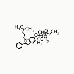 C=CC(=O)OC(C)(C)C(C)(C)Oc1ccc2cc(-c3ccccc3)n(CCCC(C)C)c2c1